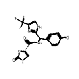 O=C1NC[C@@H](C(=O)NC(c2ccc(Cl)cc2)c2nc(C(F)(F)F)c[nH]2)O1